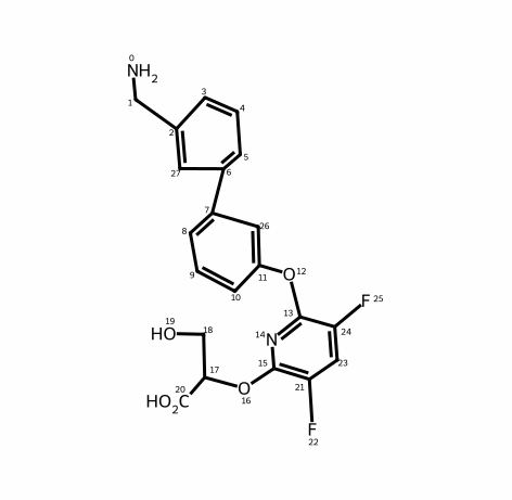 NCc1cccc(-c2cccc(Oc3nc(OC(CO)C(=O)O)c(F)cc3F)c2)c1